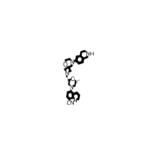 C[C@@H]1CN(c2ccc(C#N)c3ncccc23)C[C@H](CN2CC3(C2)CN(c2ccc4c(c2)CCNC4)CCO3)O1